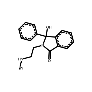 CC(C)NCCN1C(=O)c2ccccc2C1(O)c1ccccc1